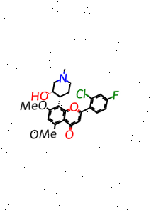 COc1cc(OC)c2c(=O)cc(-c3ccc(F)cc3Cl)oc2c1[C@H]1CCN(C)C[C@H]1O